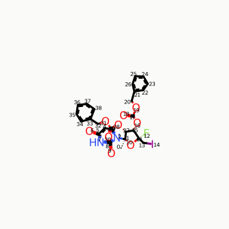 C[C@@]1(n2ccc(=O)[nH]c2=O)O[C@](F)(CI)[C@@H](OC(=O)OCc2ccccc2)[C@H]1OC(=O)OCc1ccccc1